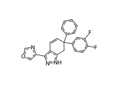 Fc1ccc(C2(c3ccccc3)C=Cc3c(-c4cocn4)n[nH]c3C2)cc1F